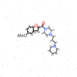 COc1ccc2oc(C(=O)N3CCN(CCCN4CCCCC4)CC3)cc2c1